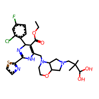 CCOC(=O)C1=C(CN2CCOC3CN(CC(C)(C)C(O)O)CC32)NC(c2nccs2)=NC1c1ccc(F)cc1Cl